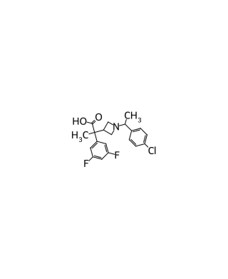 CC(c1ccc(Cl)cc1)N1CC(C(C)(C(=O)O)c2cc(F)cc(F)c2)C1